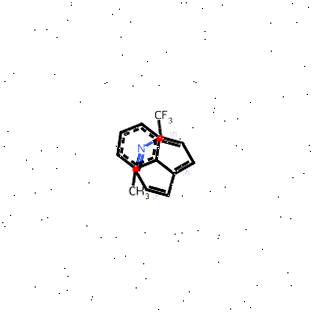 Cc1ccccc1C1=C\C=C(\C(F)(F)F)N=C/C=C\1